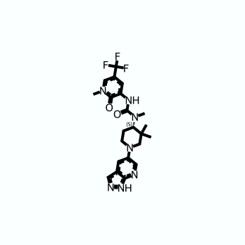 CN(C(=O)Nc1cc(C(F)(F)F)cn(C)c1=O)[C@H]1CCN(c2cnc3[nH]ncc3c2)CC1(C)C